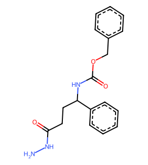 NNC(=O)CCC(NC(=O)OCc1ccccc1)c1ccccc1